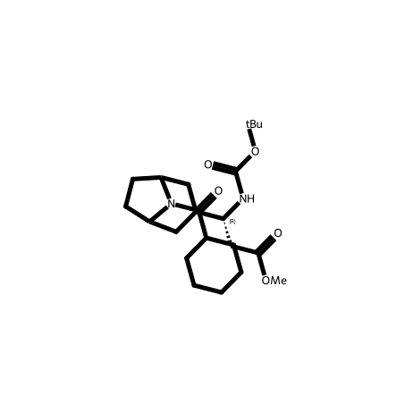 COC(=O)C[C@@H](NC(=O)OC(C)(C)C)C1CC2CCC(C1)N2C(=O)C1CCCCC1